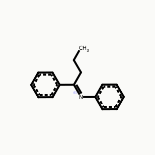 CCC/C(=N\c1ccccc1)c1ccccc1